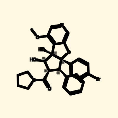 COc1cncc2c1[C@]1(O)[C@H](O)[C@H](C(=O)N3CCCC3)[C@@H](c3ccccc3)[C@]1(c1ccc(Br)cc1)O2